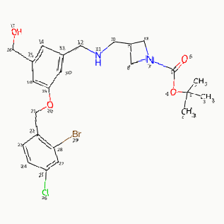 CC(C)(C)OC(=O)N1CC(CNCc2cc(CO)cc(OCc3ccc(Cl)cc3Br)c2)C1